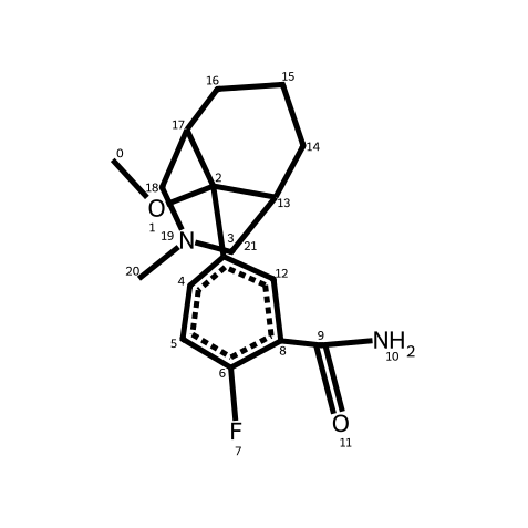 COC1(c2ccc(F)c(C(N)=O)c2)C2CCCC1CN(C)C2